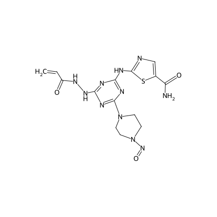 C=CC(=O)NNc1nc(Nc2ncc(C(N)=O)s2)nc(N2CCN(N=O)CC2)n1